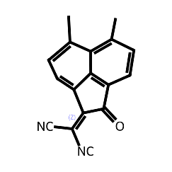 [C-]#[N+]/C(C#N)=c1\c(=O)c2ccc(C)c3c(C)ccc1c32